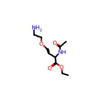 CCOC(=O)C(C=COCCN)NC(C)=O